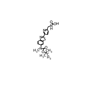 CN(C(=O)OC(C)(C)C)c1ccc2nc(-c3ccc(CNC(=O)O)nc3)sc2c1